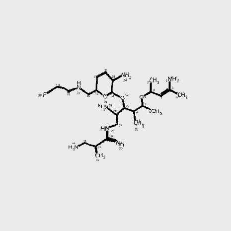 C/C(N)=C/C(C)OC(C)C(C)C(OC1OC(CNCCF)CCC1N)C(N)CNC(=N)C(C)CN